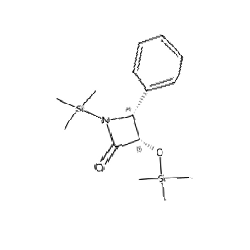 C[Si](C)(C)O[C@@H]1C(=O)N([Si](C)(C)C)[C@@H]1c1ccccc1